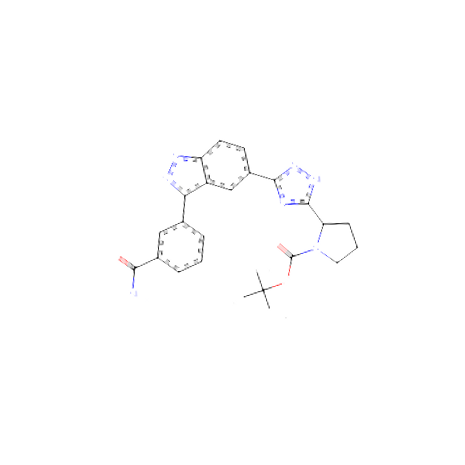 CC(C)(C)OC(=O)N1CCCC1c1nc(-c2ccc3[nH]nc(-c4cccc(C(N)=O)c4)c3c2)n[nH]1